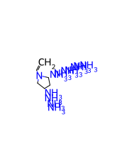 C=CN1CCCC1.N.N.N.N.N.N.N.N.N.N.N